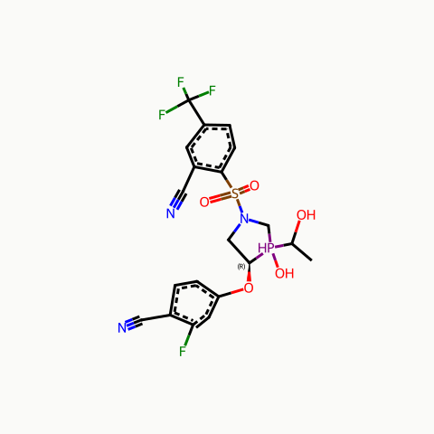 CC(O)[PH]1(O)CN(S(=O)(=O)c2ccc(C(F)(F)F)cc2C#N)C[C@@H]1Oc1ccc(C#N)c(F)c1